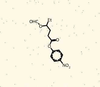 CCC(CCC(=O)Oc1ccc([N+](=O)[O-])cc1)OC=O